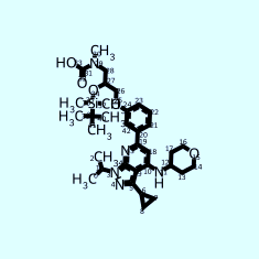 CC(C)n1nc(C2CC2)c2c(NC3CCOCC3)cc(-c3cccc(OCC(CN(C)C(=O)O)O[Si](C)(C)C(C)(C)C)c3)nc21